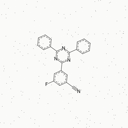 N#Cc1cc(F)cc(-c2nc(-c3ccccc3)nc(-c3ccccc3)n2)c1